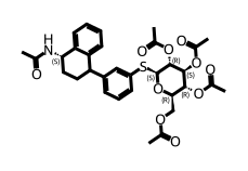 CC(=O)N[C@H]1CCC(c2cccc(S[C@@H]3O[C@H](COC(C)=O)[C@@H](OC(C)=O)[C@H](OC(C)=O)[C@H]3OC(C)=O)c2)c2ccccc21